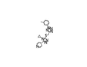 Cc1cccc(-n2nnc(CSc3nnc(-c4ccncc4)n3C3CC3)n2)c1